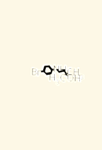 CC(C)(O)CCNc1ccc(Br)cc1